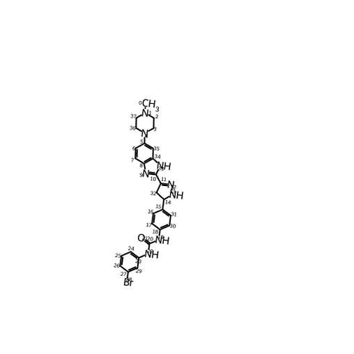 CN1CCN(c2ccc3nc(C4=NNC(c5ccc(NC(=O)Nc6cccc(Br)c6)cc5)C4)[nH]c3c2)CC1